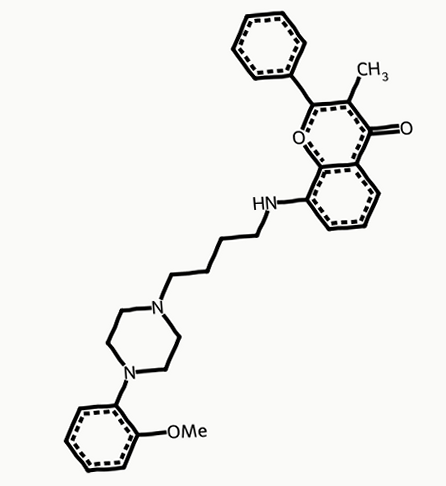 COc1ccccc1N1CCN(CCCCNc2cccc3c(=O)c(C)c(-c4ccccc4)oc23)CC1